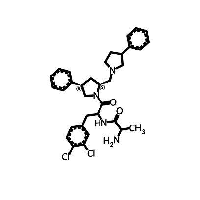 CC(N)C(=O)NC(Cc1ccc(Cl)c(Cl)c1)C(=O)N1C[C@@H](c2ccccc2)C[C@H]1CN1CCC(c2ccccc2)C1